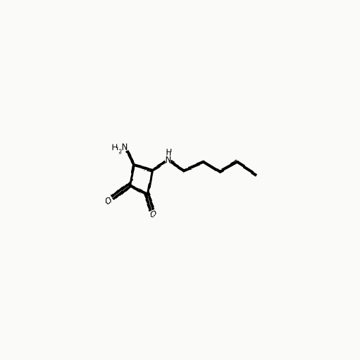 CCCCCNC1C(=O)C(=O)C1N